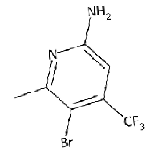 Cc1nc(N)cc(C(F)(F)F)c1Br